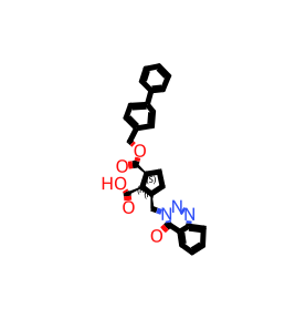 O=C(O)[C@@H]1[C@H](Cn2nnc3ccccc3c2=O)CC[C@@H]1C(=O)OCc1ccc(-c2ccccc2)cc1